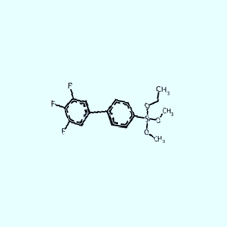 CCO[Si](OC)(OC)c1ccc(-c2cc(F)c(F)c(F)c2)cc1